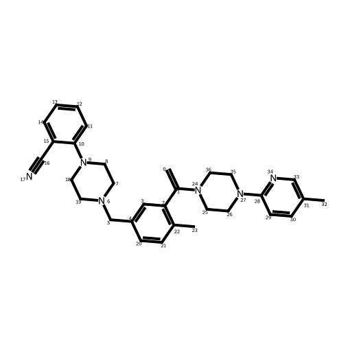 C=C(c1cc(CN2CCN(c3ccccc3C#N)CC2)ccc1C)N1CCN(c2ccc(C)cn2)CC1